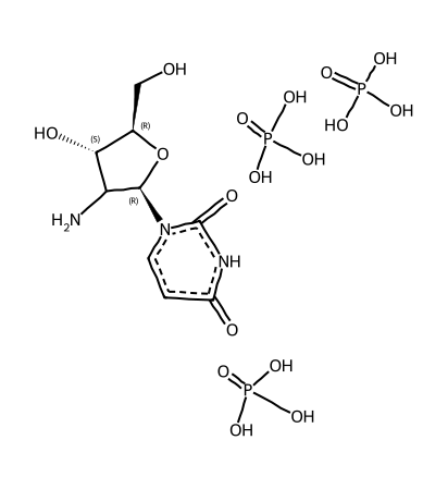 NC1[C@H](n2ccc(=O)[nH]c2=O)O[C@H](CO)[C@H]1O.O=P(O)(O)O.O=P(O)(O)O.O=P(O)(O)O